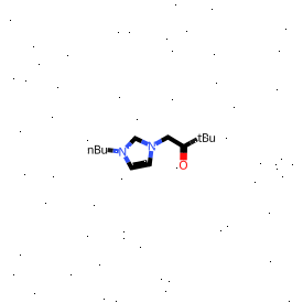 CCCCN1C=CN(CC(=O)C(C)(C)C)C1